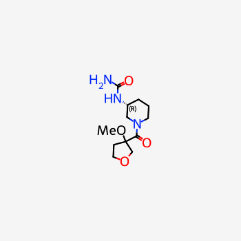 COC1(C(=O)N2CCC[C@@H](NC(N)=O)C2)CCOC1